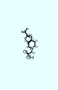 CC(C)c1nc2c(s1)CN(CC(=O)O)CC2